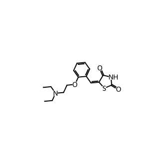 CCN(CC)CCOc1ccccc1/C=C1/SC(=O)NC1=O